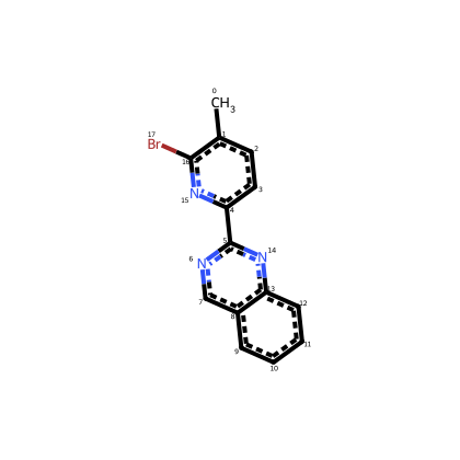 Cc1ccc(-c2ncc3ccccc3n2)nc1Br